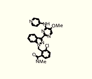 CNC(=O)c1cccc(Cl)c1Cn1nc(-c2ncc(OC)c(Nc3ccncc3)n2)c2ccccc21